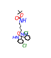 CC(C)(C)OC(=O)NCCCCCNC1(c2ccccc2Cl)C(=O)Nc2ccc(Cl)cc21